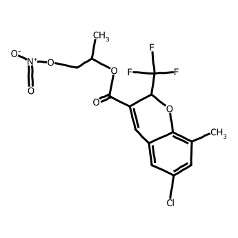 Cc1cc(Cl)cc2c1OC(C(F)(F)F)C(C(=O)OC(C)CO[N+](=O)[O-])=C2